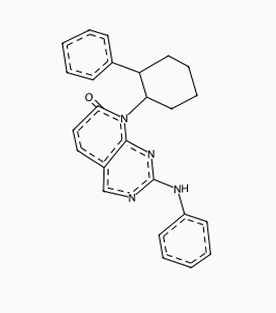 O=c1ccc2cnc(Nc3ccccc3)nc2n1C1CCCCC1c1ccccc1